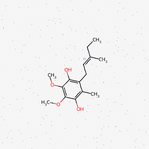 CC/C(C)=C/Cc1c(C)c(O)c(OC)c(OC)c1O